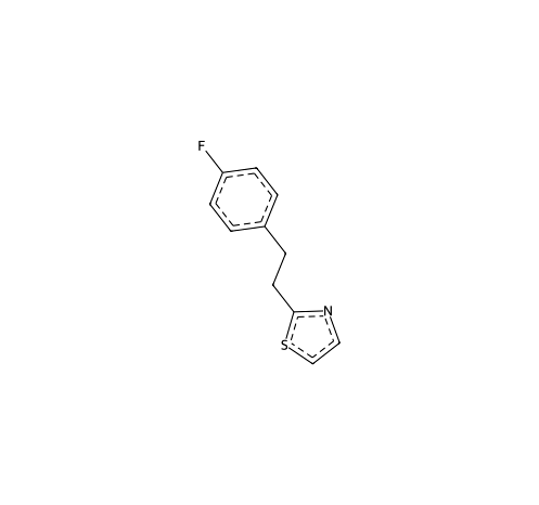 Fc1ccc(CCc2nccs2)cc1